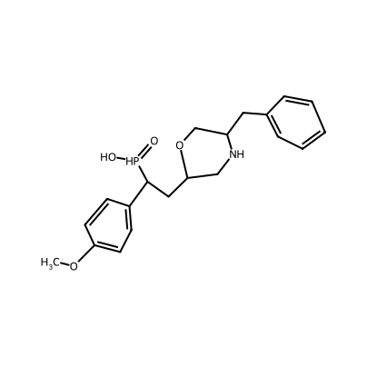 COc1ccc(C(CC2CNC(Cc3ccccc3)CO2)[PH](=O)O)cc1